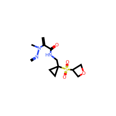 C=NN(C)C(=C)C(=O)NCC1(S(=O)(=O)C2COC2)CC1